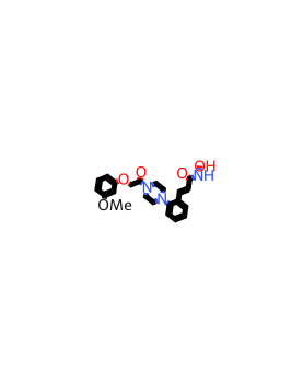 COc1cccc(OCC(=O)N2CCN(c3ccccc3/C=C/C(=O)NO)CC2)c1